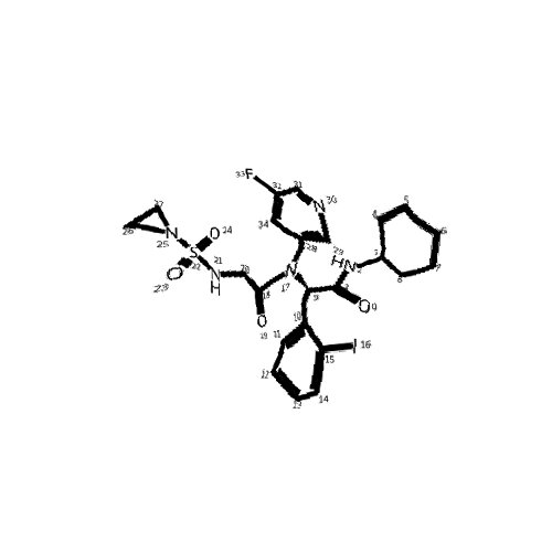 O=C(NC1CCCCC1)[C@@H](c1ccccc1I)N(C(=O)CNS(=O)(=O)N1CC1)c1cncc(F)c1